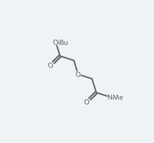 CNC(=O)COCC(=O)OCC(C)C